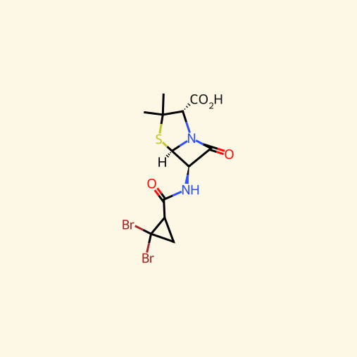 CC1(C)S[C@@H]2[C@H](NC(=O)C3CC3(Br)Br)C(=O)N2[C@H]1C(=O)O